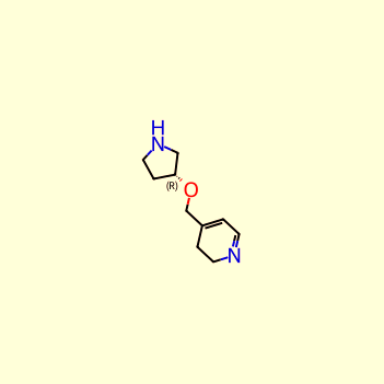 C1=NCCC(CO[C@@H]2CCNC2)=C1